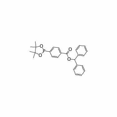 CC1(C)OP(c2ccc(C(=O)OC(c3ccccc3)c3ccccc3)cc2)OC1(C)C